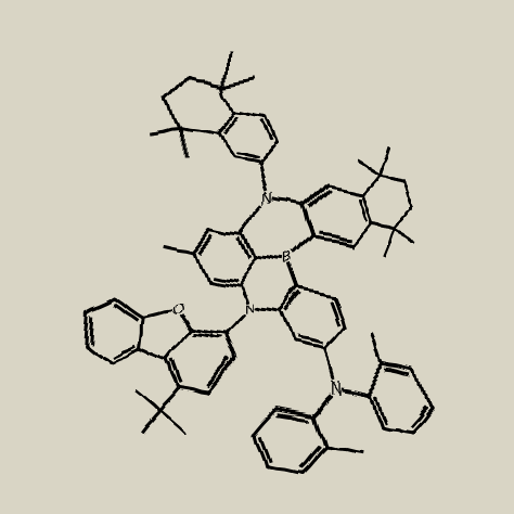 Cc1cc2c3c(c1)N(c1ccc(C(C)(C)C)c4c1oc1ccccc14)c1cc(N(c4ccccc4C)c4ccccc4C)ccc1B3c1cc3c(cc1N2c1ccc2c(c1)C(C)(C)CCC2(C)C)C(C)(C)CCC3(C)C